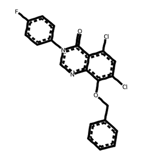 O=c1c2c(Cl)cc(Cl)c(OCc3ccccc3)c2ncn1-c1ccc(F)cc1